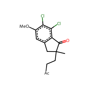 COc1cc2c(c(Cl)c1Cl)C(=O)C(C)(CCC(C)=O)C2